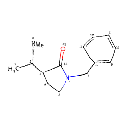 CN[C@@H](C)C1CCN(Cc2ccccc2)C1=O